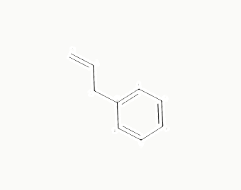 C=CCc1ccccc1